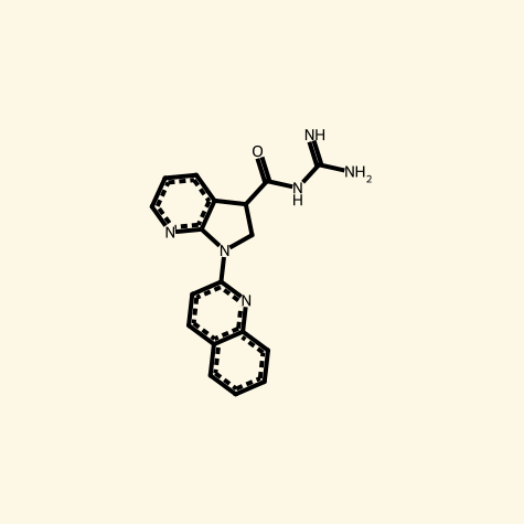 N=C(N)NC(=O)C1CN(c2ccc3ccccc3n2)c2ncccc21